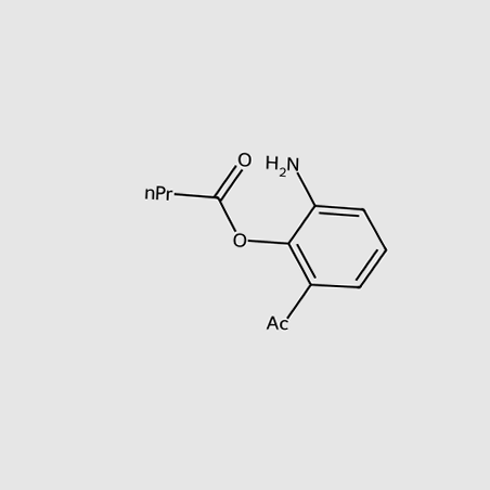 CCCC(=O)Oc1c(N)cccc1C(C)=O